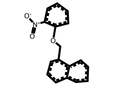 O=[N+]([O-])c1ccccc1OCc1cccc2ccccc12